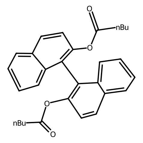 CCCCC(=O)Oc1ccc2ccccc2c1-c1c(OC(=O)CCCC)ccc2ccccc12